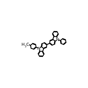 CC1C=CC(n2c3ccccc3c3cc(-c4ccc5c(c4)c4ccccc4n5-c4ccccc4)ccc32)=CC1